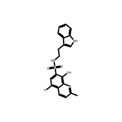 Cc1ccc2c(Cl)cc(S(=O)(=O)NCCc3c[nH]c4ccccc34)c(O)c2n1